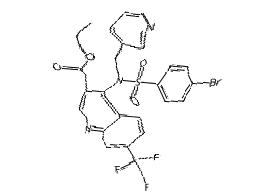 CCOC(=O)c1cnc2cc(C(F)(F)F)ccc2c1N(Cc1cccnc1)S(=O)(=O)c1ccc(Br)cc1